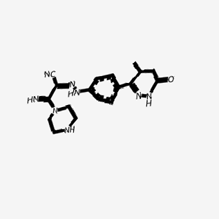 CC1CC(=O)NN=C1c1ccc(NN=C(C#N)C(=N)N2CCNCC2)cc1